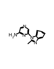 Cc1nc2ccccc2n1-c1cncc(N)n1